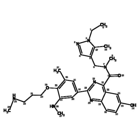 CCn1ncc(CN(C)C(=O)c2nc(-c3cc(C)c(OCCCNC)c(NC)c3)nc3ccc(O)cc23)c1C